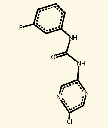 O=C(Nc1cccc(F)c1)Nc1cnc(Cl)cn1